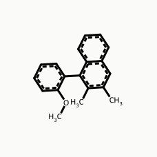 COc1ccccc1-c1c(C)c(C)cc2ccccc12